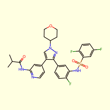 CC(C)C(=O)Nc1cc(-c2cn(C3CCOCC3)nc2-c2ccc(F)c(NS(=O)(=O)c3cc(F)ccc3F)c2)ccn1